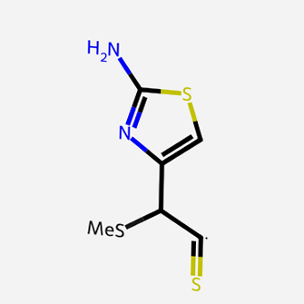 CSC([C]=S)c1csc(N)n1